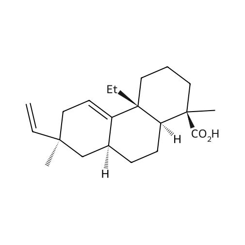 C=C[C@@]1(C)CC=C2[C@@H](CC[C@H]3[C@@]2(CC)CCC[C@@]3(C)C(=O)O)C1